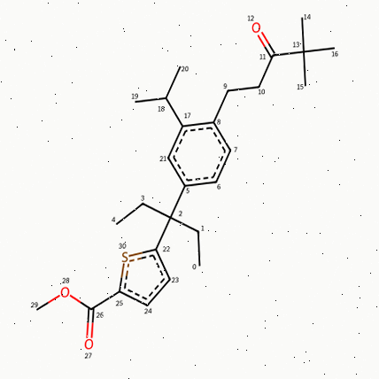 CCC(CC)(c1ccc(CCC(=O)C(C)(C)C)c(C(C)C)c1)c1ccc(C(=O)OC)s1